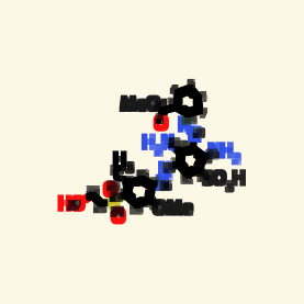 COC(=O)c1ccccc1/N=N/c1c(N)c(/N=N/c2cc(C)c(S(=O)(=O)CCO)cc2OC)cc(S(=O)(=O)O)c1N